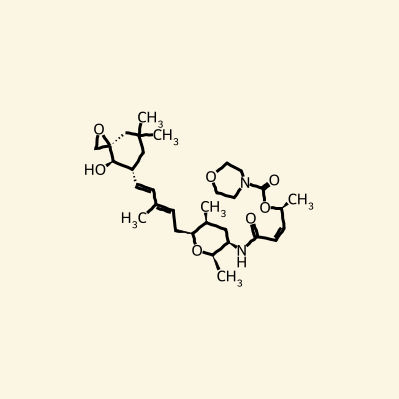 CC(/C=C/[C@H]1CC(C)(C)C[C@@]2(CO2)[C@@H]1O)=C\C[C@@H]1O[C@H](C)[C@H](NC(=O)/C=C\[C@H](C)OC(=O)N2CCOCC2)C[C@@H]1C